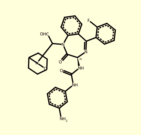 Nc1cccc(NC(=O)N[C@@H]2N=C(c3ccccc3F)c3ccccc3N(C(C=O)N3CC4CCC(CC4)C3)C2=O)c1